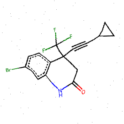 O=C1CC(C#CC2CC2)(C(F)(F)F)c2ccc(Br)cc2N1